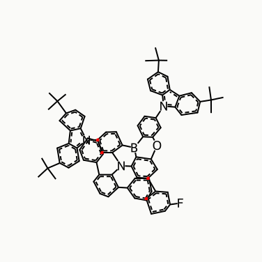 CC(C)(C)c1ccc2c(c1)c1cc(C(C)(C)C)ccc1n2-c1ccc2c(c1)Oc1cc(-c3cccc(F)c3)cc3c1B2c1ccc(-n2c4ccc(C(C)(C)C)cc4c4cc(C(C)(C)C)ccc42)cc1N3c1c(-c2ccccc2)cccc1-c1ccccc1